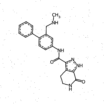 CNCc1cc(NC(=O)c2n[nH]c3c2CCNC3=O)ccc1-c1ccccc1